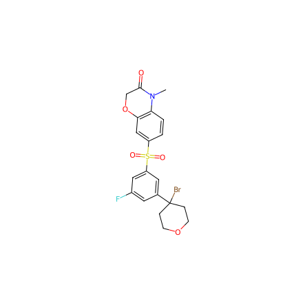 CN1C(=O)COc2cc(S(=O)(=O)c3cc(F)cc(C4(Br)CCOCC4)c3)ccc21